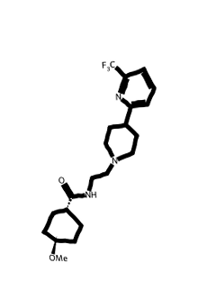 CO[C@H]1CC[C@H](C(=O)NCCN2CCC(c3cccc(C(F)(F)F)n3)CC2)CC1